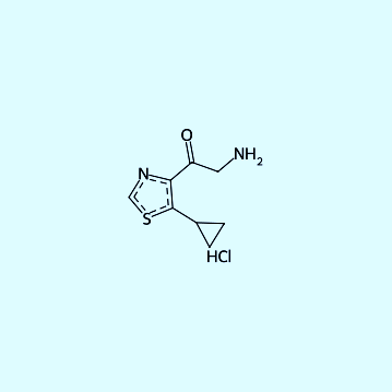 Cl.NCC(=O)c1ncsc1C1CC1